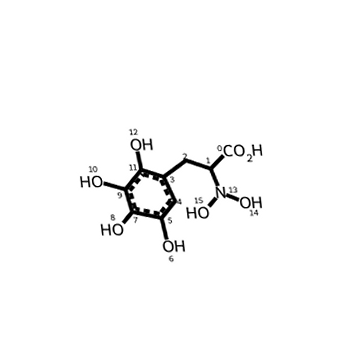 O=C(O)C(Cc1cc(O)c(O)c(O)c1O)N(O)O